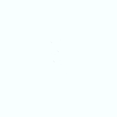 NCC(NC(=O)c1cc2cc(Cl)c(F)c(F)c2[nH]1)C1CC1